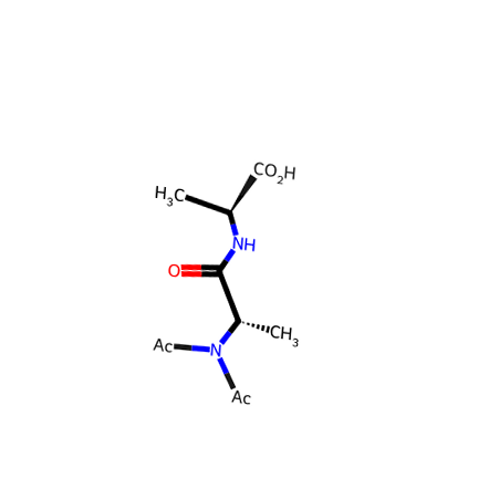 CC(=O)N(C(C)=O)[C@@H](C)C(=O)N[C@@H](C)C(=O)O